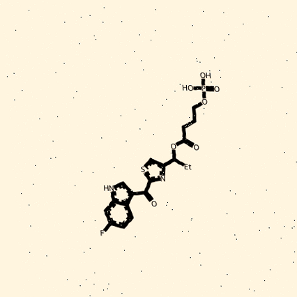 CCC(OC(=O)CCCOP(=O)(O)O)c1csc(C(=O)c2c[nH]c3cc(F)ccc23)n1